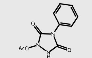 CC(=O)On1[nH]c(=O)n(-c2ccccc2)c1=O